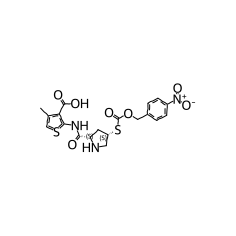 Cc1csc(NC(=O)[C@@H]2C[C@H](SC(=O)OCc3ccc([N+](=O)[O-])cc3)CN2)c1C(=O)O